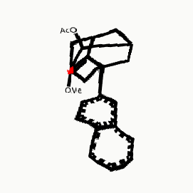 COC=C1C2CC3CC1(c1ccc4ccccc4c1)CC(C2)C3OC(C)=O